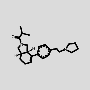 CC(C)C(=O)N1C[C@H]2CCC=C(c3ccc(CCN4CCCC4)cc3)[C@H]2C1